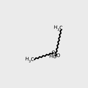 CCCCCCCCCCCCCCC(OCCCCCCCCCCCC)C(=O)O